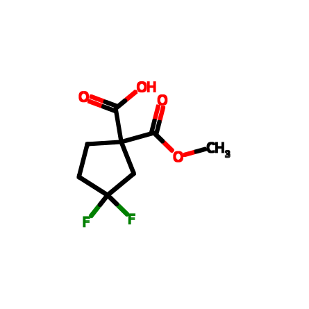 COC(=O)C1(C(=O)O)CCC(F)(F)C1